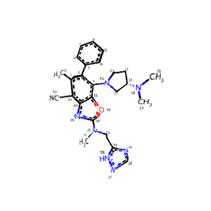 Cc1c(-c2ccccc2)c(N2CC[C@H](N(C)C)C2)c2oc(N(C)Cc3ncn[nH]3)nc2c1C#N